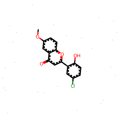 COc1ccc2oc(-c3cc(Cl)ccc3O)cc(=O)c2c1